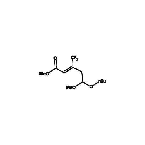 CCCCOC(CC(=CC(=O)OC)C(F)(F)F)OC